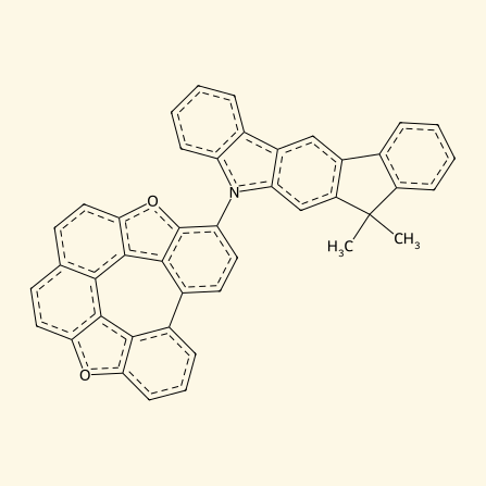 CC1(C)c2ccccc2-c2cc3c4ccccc4n(-c4ccc5c6c4oc4ccc7ccc8oc9cccc-5c9c8c7c46)c3cc21